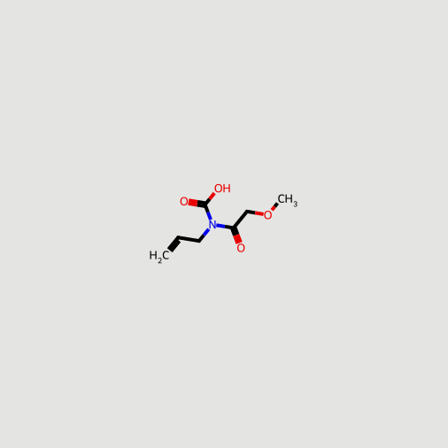 C=CCN(C(=O)O)C(=O)COC